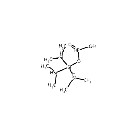 C[SiH](C)[Si](O[PH](=O)O)([SiH](C)C)[SiH](C)C